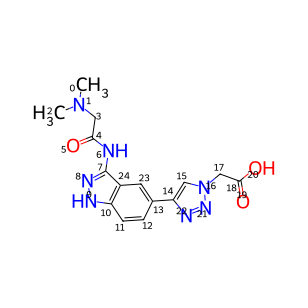 CN(C)CC(=O)Nc1n[nH]c2ccc(-c3cn(CC(=O)O)nn3)cc12